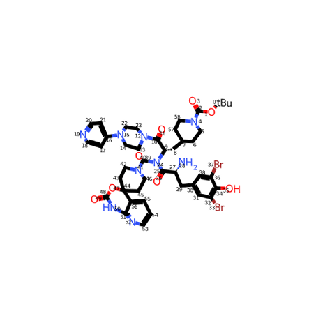 CC(C)(C)OC(=O)N1CCC(C[C@@H](C(=O)N2CCN(c3ccncc3)CC2)N(C(=O)[C@H](N)Cc2cc(Br)c(O)c(Br)c2)C(=O)N2CCC3(CC2)OC(=O)Nc2ncccc23)CC1